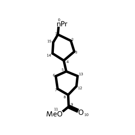 CCCC1CCC(C2CCC(C(=O)OC)CC2)CC1